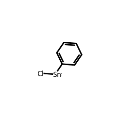 [Cl][Sn][c]1ccccc1